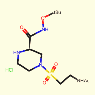 CC(=O)NCCS(=O)(=O)N1CCN[C@@H](C(=O)NOC(C)(C)C)C1.Cl